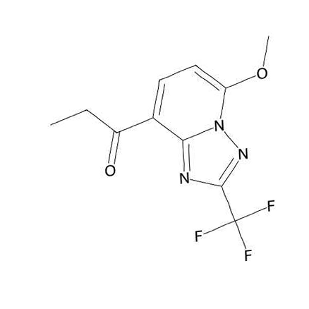 CCC(=O)c1ccc(OC)n2nc(C(F)(F)F)nc12